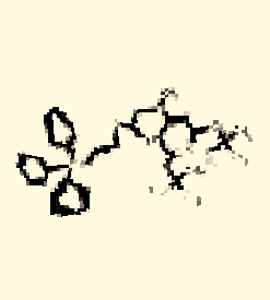 CN(CC(=O)OCCC[PH](c1ccccc1)(c1ccccc1)c1ccccc1)/C(=C/C(=O)OC(C)(C)C)NC(=O)OC(C)(C)C